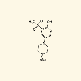 CCCCN1CCN(c2ccc(O)c(S(C)(=O)=O)c2)CC1